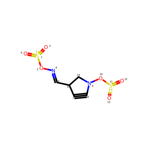 O=[SH](=O)ON=CC1C#CN(O[SH](=O)=O)C1